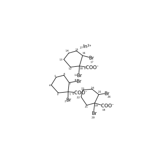 O=C([O-])C1(Br)CCCCC1Br.O=C([O-])C1(Br)CCCCC1Br.O=C([O-])C1(Br)CCCCC1Br.[In+3]